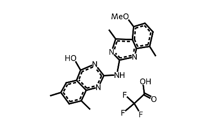 COc1ccc(C)c2nc(Nc3nc(O)c4cc(C)cc(C)c4n3)nc(C)c12.O=C(O)C(F)(F)F